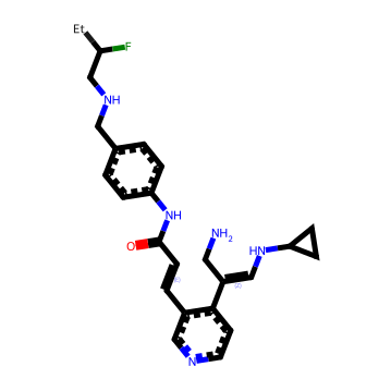 CCC(F)CNCc1ccc(NC(=O)/C=C/c2cnccc2/C(=C/NC2CC2)CN)cc1